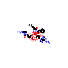 C=CCCC(=O)NC(Cc1ccccc1I)C(=O)O[C@H]1[C@@H](O)[C@H](n2cnc3c(N)ncnc32)O[C@@H]1COP(=O)(O)O[C@H]1C[C@H](n2ccc(N)nc2=O)O[C@@H]1COP(=O)(O)O